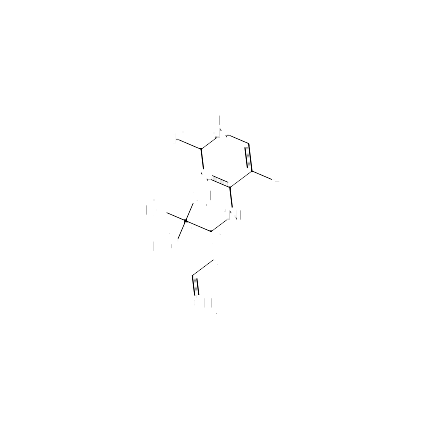 C=CC[C@@H](NC1=NC(Cl)NC=C1F)C(C)(C)C